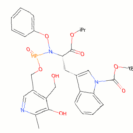 Cc1ncc(CO[PH](=O)N(Oc2ccccc2)[C@@H](Cc2cn(C(=O)OC(C)(C)C)c3ccccc23)C(=O)OC(C)C)c(CO)c1O